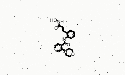 O=C(/C=C/c1ccccc1NC(=O)c1ccncc1N1CCOCC1)NO